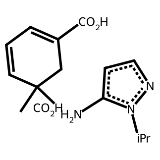 CC(C)n1nccc1N.CC1(C(=O)O)C=CC=C(C(=O)O)C1